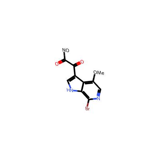 COc1cnc(Br)c2[nH]cc(C(=O)C(=O)N=O)c12